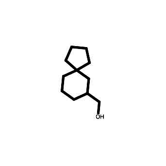 OCC1CCCC2(CCCC2)C1